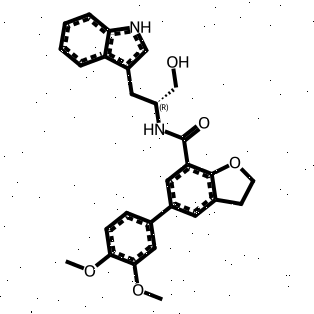 COc1ccc(-c2cc3c(c(C(=O)N[C@@H](CO)Cc4c[nH]c5ccccc45)c2)OCC3)cc1OC